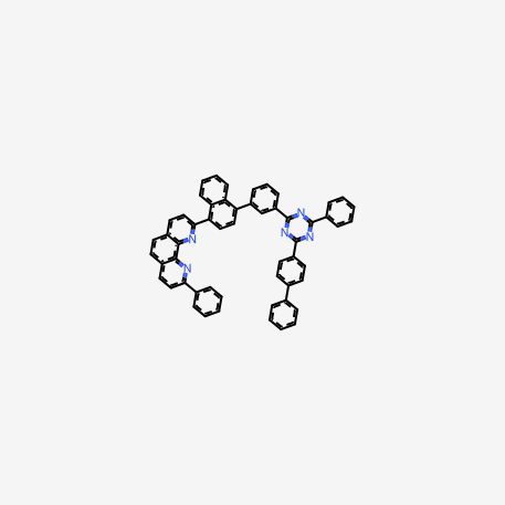 c1ccc(-c2ccc(-c3nc(-c4ccccc4)nc(-c4cccc(-c5ccc(-c6ccc7ccc8ccc(-c9ccccc9)nc8c7n6)c6ccccc56)c4)n3)cc2)cc1